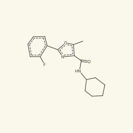 Cc1oc(-c2ccccc2F)nc1C(=O)NC1CCCCC1